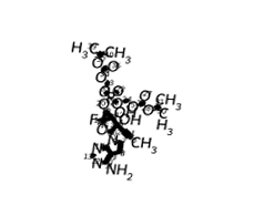 CC#C[C@]1(O)[C@H](n2ccc3c(N)ncnc32)O[C@]2(F)C(OP(=O)(OCOC(=O)OC(C)C)OCOC(=O)OC(C)C)[C@@]21O